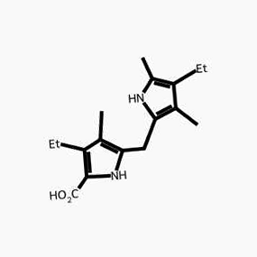 CCc1c(C)[nH]c(Cc2[nH]c(C(=O)O)c(CC)c2C)c1C